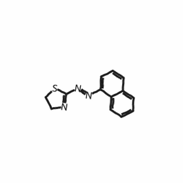 c1ccc2c(/N=N/C3=NCCS3)cccc2c1